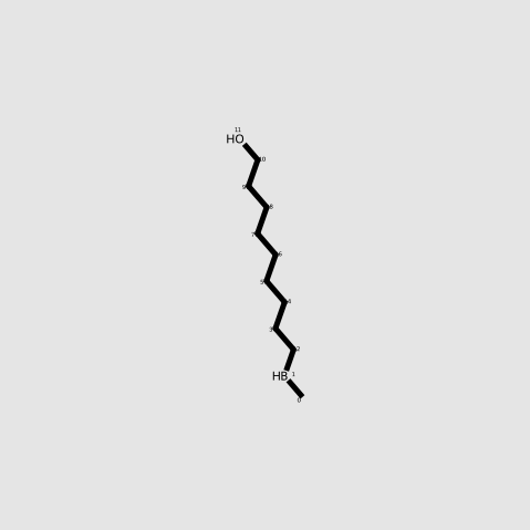 CBCCCCCCCCCO